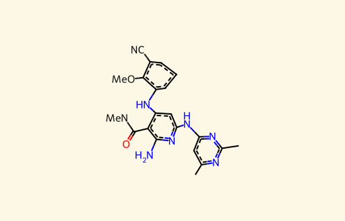 CNC(=O)c1c(Nc2cccc(C#N)c2OC)cc(Nc2cc(C)nc(C)n2)nc1N